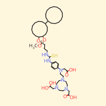 CO[Si]1(CCCNC(S)Nc2ccc(N(CCN3CCN(CC(=O)O)CCN(CC(O)O)CC3)CC(=O)O)cc2)OC2CCCCCCCC(C3CCCCCCCCCCCCC3)CCCC2O1